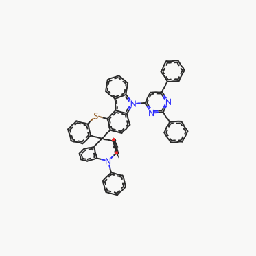 c1ccc(-c2cc(-n3c4ccccc4c4c5c(ccc43)C3(c4ccccc4S5)c4ccccc4N(c4ccccc4)c4ccccc43)nc(-c3ccccc3)n2)cc1